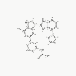 CC(C)C(=O)Nc1cncc(-c2cc(F)c3[nH]nc(-c4nc5c(-c6ccoc6)ccnc5[nH]4)c3c2)c1